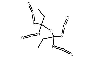 CCC(N=C=O)(N=C=O)OC(CC)(N=C=O)N=C=O